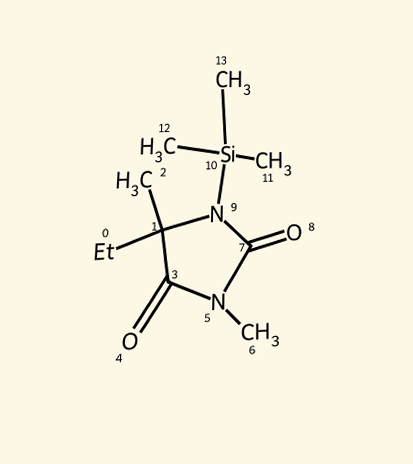 CCC1(C)C(=O)N(C)C(=O)N1[Si](C)(C)C